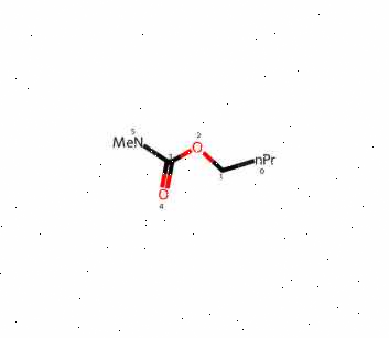 [CH2]CCCOC(=O)NC